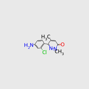 Cc1cc(=O)n(C)nc1-c1ccc(N)cc1Cl